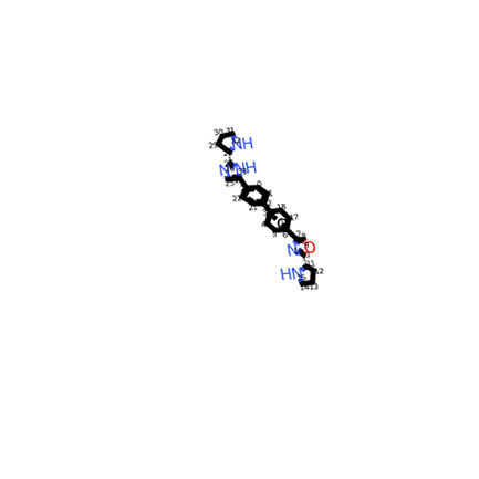 c1cc(C23CCC(c4coc([C@@H]5CCCN5)n4)(CC2)CC3)ccc1-c1cnc([C@@H]2CCCN2)[nH]1